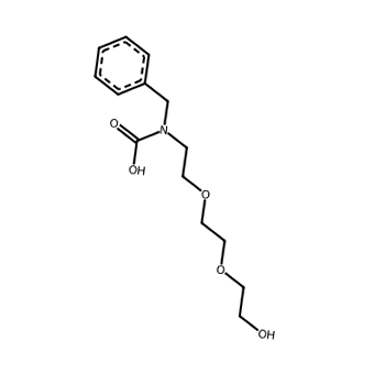 O=C(O)N(CCOCCOCCO)Cc1ccccc1